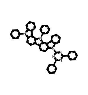 c1ccc(-c2nc(-c3ccccc3)nc(-n3c4ccccc4c4c3ccc3c5ccc6c(c7ccccc7n6-c6ccccc6)c5n(-c5ccccc5)c34)n2)cc1